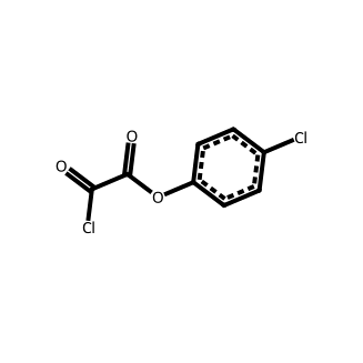 O=C(Cl)C(=O)Oc1ccc(Cl)cc1